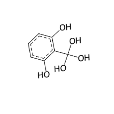 Oc1cccc(O)c1C(O)(O)O